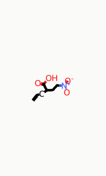 C=CCC(CC[N+](=O)[O-])C(=O)O